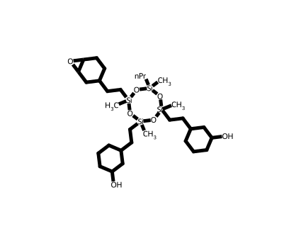 CCC[Si]1(C)O[Si](C)(CCC2CCCC(O)C2)O[Si](C)(CCC2CCCC(O)C2)O[Si](C)(CCC2CCC3OC3C2)O1